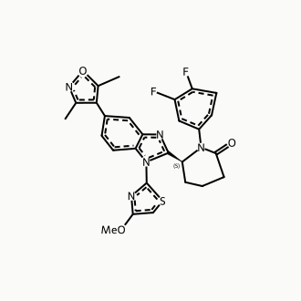 COc1csc(-n2c([C@@H]3CCCC(=O)N3c3ccc(F)c(F)c3)nc3cc(-c4c(C)noc4C)ccc32)n1